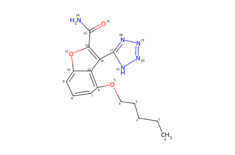 CCCCCOc1cccc2oc(C(N)=O)c(-c3nnn[nH]3)c12